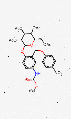 CC(=O)OC[C@H]1O[C@@H](Oc2ccc(NC(=O)OC(C)(C)C)cc2COc2ccc([N+](=O)[O-])cc2)[C@H](OC(C)=O)[C@@H](OC(C)=O)[C@H]1OC(C)=O